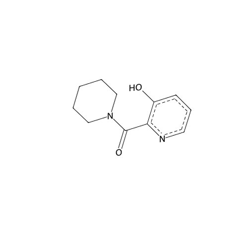 O=C(c1ncccc1O)N1CCCCC1